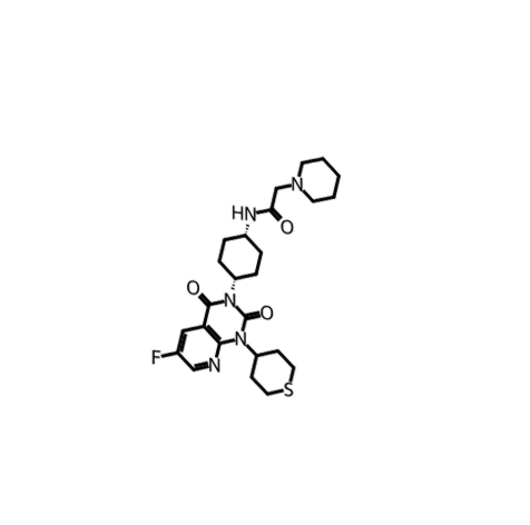 O=C(CN1CCCCC1)N[C@H]1CC[C@@H](n2c(=O)c3cc(F)cnc3n(C3CCSCC3)c2=O)CC1